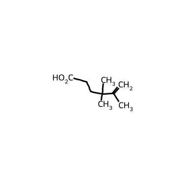 C=C(C)C(C)(C)CCC(=O)O